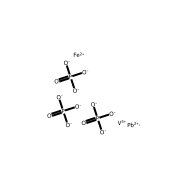 O=P([O-])([O-])[O-].O=P([O-])([O-])[O-].O=P([O-])([O-])[O-].[Fe+2].[Pb+2].[V+5]